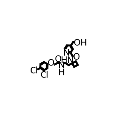 O=C(COc1ccc(Cl)c(Cl)c1)NCCC1(NC(=O)c2cc(CO)ccn2)CCC1